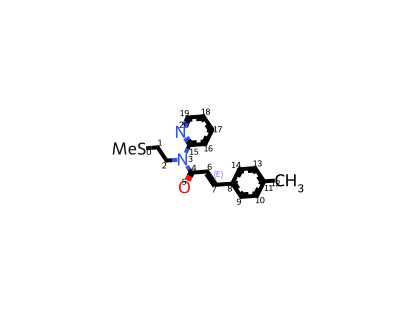 CSCCN(C(=O)/C=C/c1ccc(C)cc1)c1ccccn1